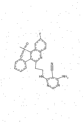 CS(=O)(=O)c1c(-c2ccccc2)c(CCNc2ncnc(N)c2C#N)nc2ccc(F)cc12